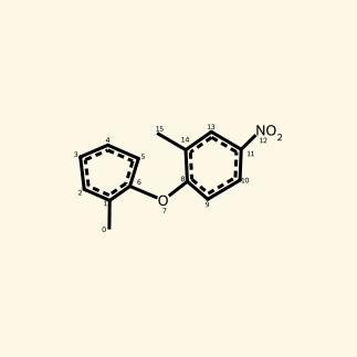 Cc1ccccc1Oc1ccc([N+](=O)[O-])cc1C